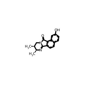 C[C@@H]1N=C2c3ccc4ccc(O)cc4c3C(=O)N2C[C@@H]1C